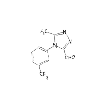 O=Cc1nnc(C(F)(F)F)n1-c1cccc(C(F)(F)F)c1